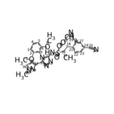 COc1cccc(OC)c1-n1c(NS(=O)(=O)[C@@H](C)[C@H](OC)c2ccc(C#N)cc2C#N)nnc1-c1ccn(C)n1